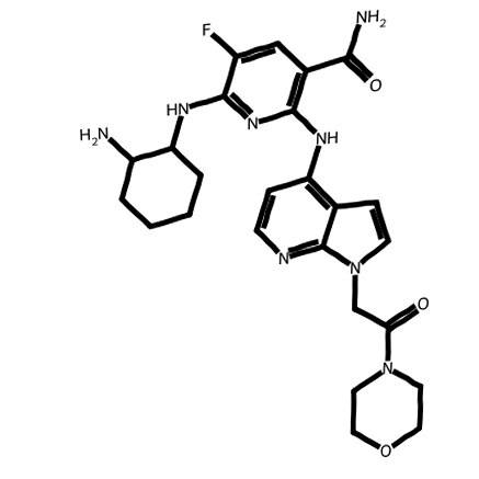 NC(=O)c1cc(F)c(NC2CCCCC2N)nc1Nc1ccnc2c1ccn2CC(=O)N1CCOCC1